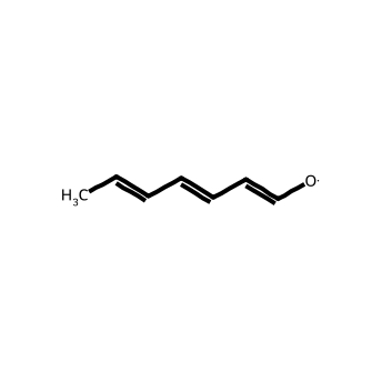 CC=CC=CC=C[O]